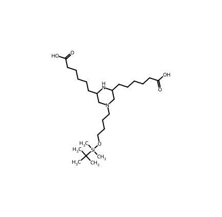 CC(C)(C)[Si](C)(C)OCCCCN1CC(CCCCCC(=O)O)NC(CCCCCC(=O)O)C1